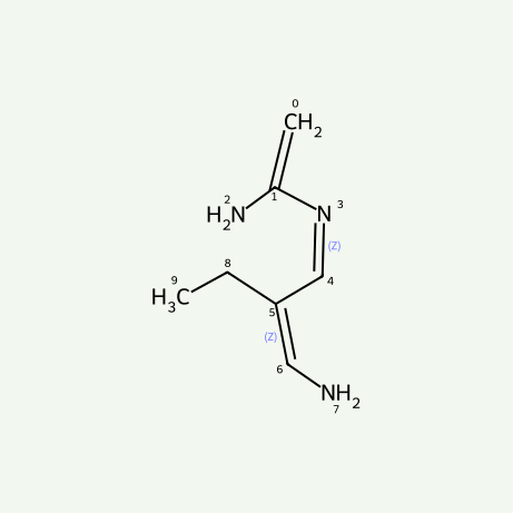 C=C(N)/N=C\C(=C/N)CC